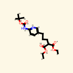 CCOC(=O)C(CCCc1ccc(NC(=O)OC(C)(C)C)nc1)C(=O)OCC